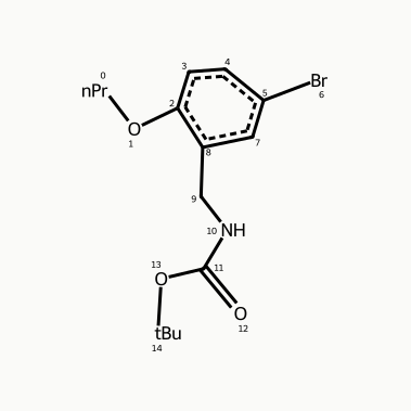 CCCOc1ccc(Br)cc1CNC(=O)OC(C)(C)C